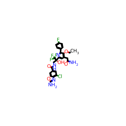 CCOc1c(CC(N)=O)cc([C@@](O)(CNC(=O)c2cc(Cl)c3nc(N)oc3c2)C(F)(F)F)nc1-c1ccc(F)cc1